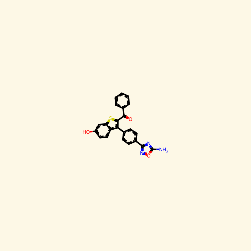 Nc1nc(-c2ccc(-c3c(C(=O)c4ccccc4)sc4cc(O)ccc34)cc2)no1